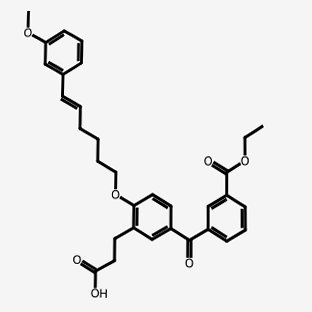 CCOC(=O)c1cccc(C(=O)c2ccc(OCCCCC=Cc3cccc(OC)c3)c(CCC(=O)O)c2)c1